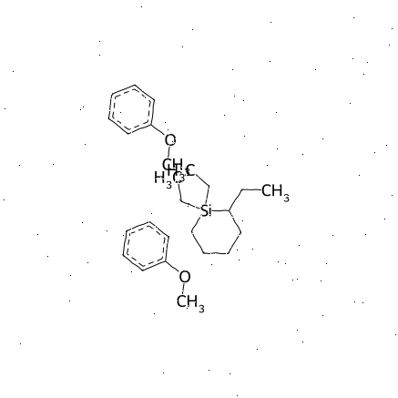 CCC1CCCC[Si]1(CC)CC.COc1ccccc1.COc1ccccc1